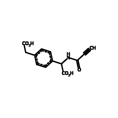 C#CC(=O)NC(C(=O)O)c1ccc(CC(=O)O)cc1